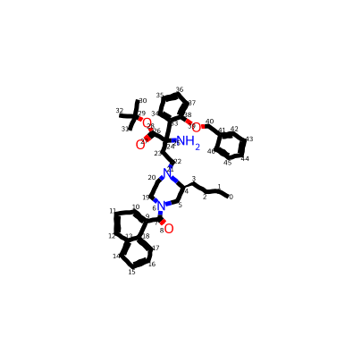 CCCC[C@H]1CN(C(=O)c2cccc3ccccc23)CCN1CCC(N)(C(=O)OC(C)(C)C)c1ccccc1OCc1ccccc1